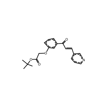 CC(C)(C)OC(=O)COc1cccc(C(=O)C=Cc2cccnc2)c1